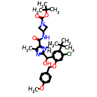 COc1ccc(COc2cc(Cl)c(C(C)(C)C)cc2C(O)c2nc(C)c(C(=O)NC3CN(C(=O)OC(C)(C)C)C3)n2C)cc1